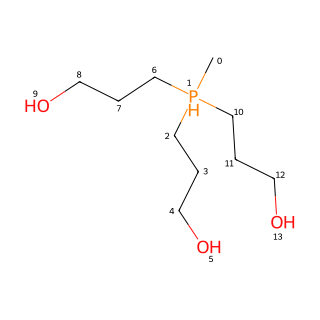 C[PH](CCCO)(CCCO)CCCO